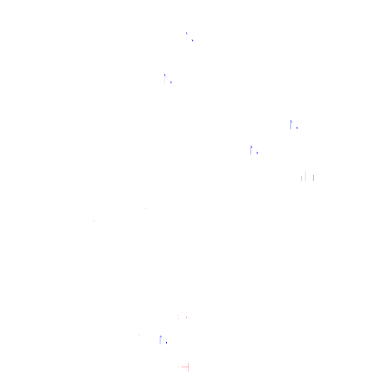 CCCc1nc2c(C)cc(-c3nc4ccccc4n3C)cc2n1Cc1ccc(-c2ccccc2C(=O)OCc2ccccc2CON(O)O)cc1